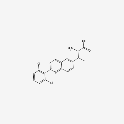 CC(c1ccc2nc(-c3c(Cl)cccc3Cl)ccc2c1)C(N)C(=O)O